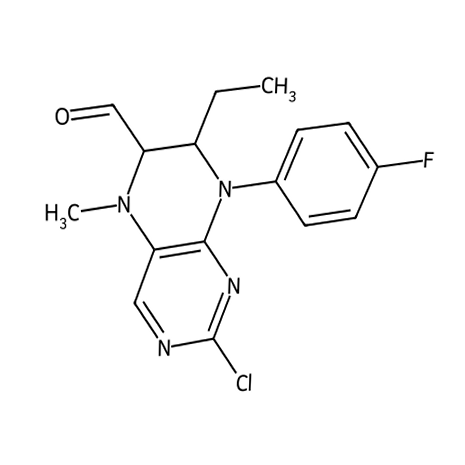 CCC1C(C=O)N(C)c2cnc(Cl)nc2N1c1ccc(F)cc1